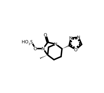 C[C@@]12CC[C@@H](c3nnco3)N(C1)C(=O)N2OS(=O)(=O)O